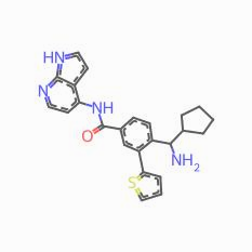 NC(c1ccc(C(=O)Nc2ccnc3[nH]ccc23)cc1-c1cccs1)C1CCCC1